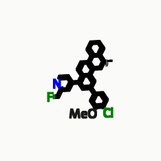 COc1cc(-c2cc(-c3ccnc(CF)c3)c3ccc4c(c3c2)C[C@@H](C)C2=CCCC=C24)ccc1Cl